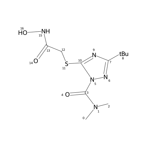 CN(C)C(=O)n1nc(C(C)(C)C)nc1SCC(=O)NO